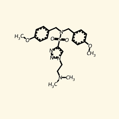 COc1ccc(CN(Cc2ccc(OC)cc2)S(=O)(=O)c2cn(CCN(C)C)nn2)cc1